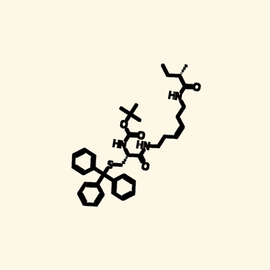 CC[C@H](C)C(=O)NCC/C=C\CCNC(=O)[C@H](CSC(c1ccccc1)(c1ccccc1)c1ccccc1)NC(=O)OC(C)(C)C